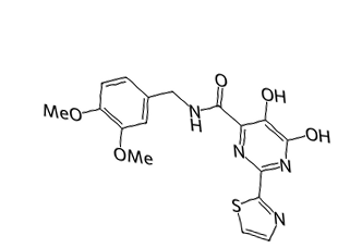 COc1ccc(CNC(=O)c2nc(-c3nccs3)nc(O)c2O)cc1OC